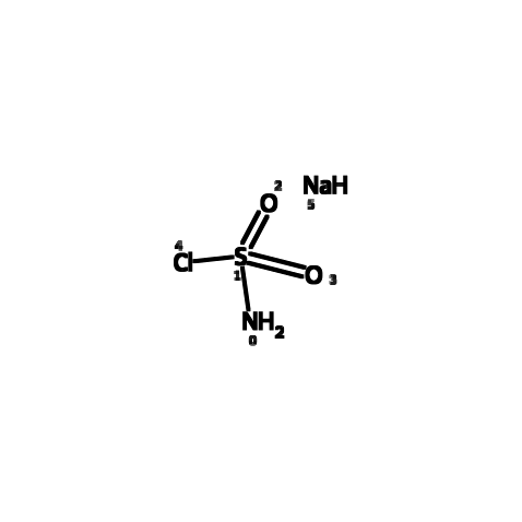 NS(=O)(=O)Cl.[NaH]